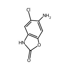 Nc1cc2oc(=O)[nH]c2cc1Cl